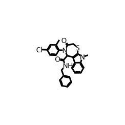 Cc1cc(Cl)ccc1N1C(=O)CSc2c(c3ccccc3n2C)C1C(=O)NCc1ccccc1